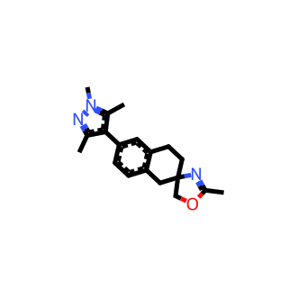 CC1=NC2(CCc3cc(-c4c(C)nn(C)c4C)ccc3C2)CO1